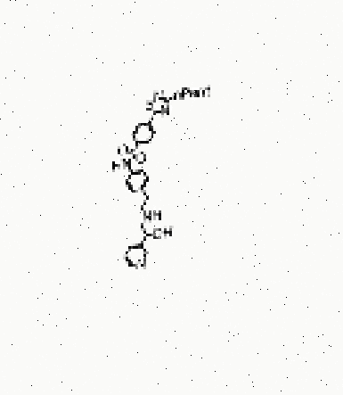 CCCCCc1nsc(-c2ccc(S(=O)(=O)Nc3ccc(CCNCC(O)c4cccnc4)cc3)cc2)n1